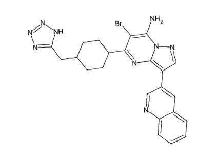 Nc1c(Br)c(C2CCC(Cc3nnn[nH]3)CC2)nc2c(-c3cnc4ccccc4c3)cnn12